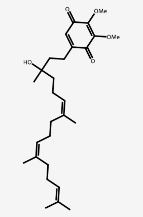 COC1=C(OC)C(=O)C(CCC(C)(O)CCC=C(C)CCC=C(C)CCC=C(C)C)=CC1=O